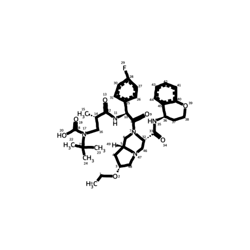 CCO[C@@H]1C[C@@H]2CN(C(=O)[C@@H](NC(=O)[C@@H](C)CN(C(=O)O)C(C)(C)C)c3ccc(F)cc3)[C@H](C(=O)N[C@@H]3CCOc4ccccc43)CN2C1